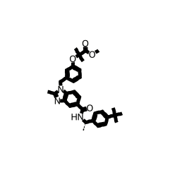 COC(=O)C(C)(C)Oc1cccc(Cn2c(C)nc3cc(C(=O)N[C@@H](C)c4ccc(C(C)(C)C)cc4)ccc32)c1